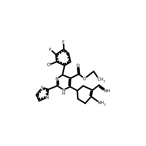 CCOC(=O)C1=C(C2CCC(N)=C(C=N)C2)NC(c2nccs2)=NC1c1ccc(F)c(F)c1Cl